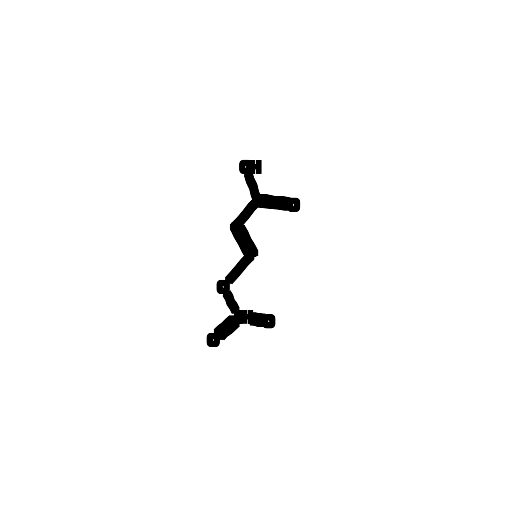 O=C(O)C=CO[SH](=O)=O